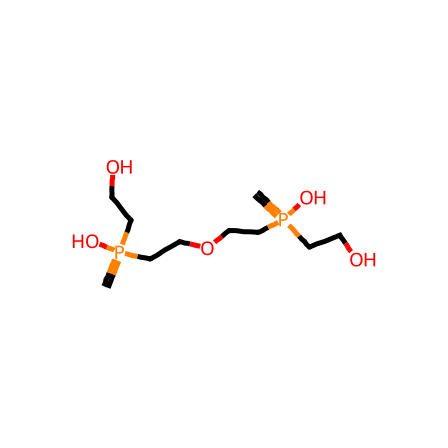 C=P(O)(CCO)CCOCCP(=C)(O)CCO